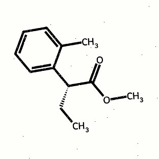 CC[C@@H](C(=O)OC)c1ccccc1C